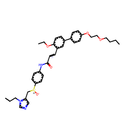 CCCCOCCOc1ccc(-c2ccc(OCC)c(/C=C/C(=O)Nc3ccc([S@@+]([O-])Cc4cncn4CCC)cc3)c2)cc1